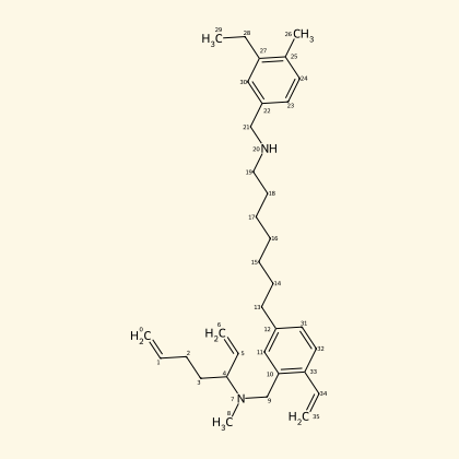 C=CCCC(C=C)N(C)Cc1cc(CCCCCCCNCc2ccc(C)c(CC)c2)ccc1C=C